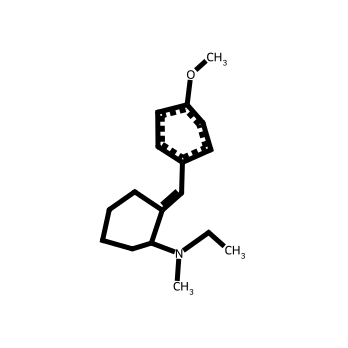 CCN(C)C1CCCCC1=Cc1ccc(OC)cc1